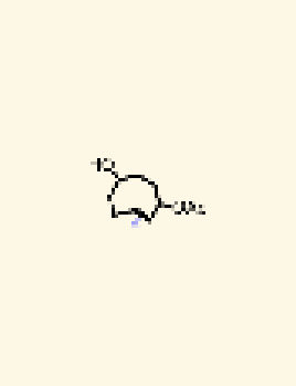 CC(=O)OC1/C=C/CCC(O)CC1